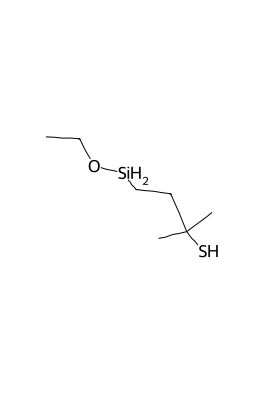 CCO[SiH2]CCC(C)(C)S